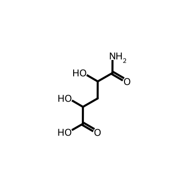 NC(=O)C(O)CC(O)C(=O)O